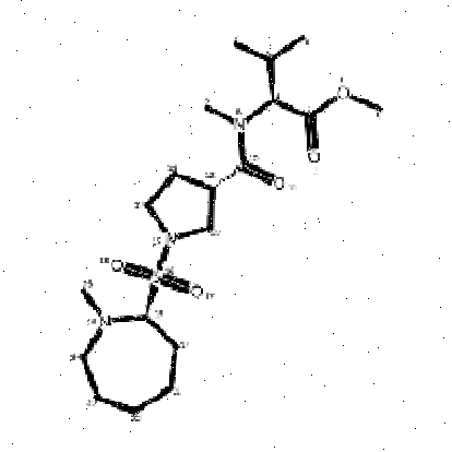 COC(=O)[C@H](C(C)C)N(C)C(=O)[C@H]1CCN(S(=O)(=O)[C@H]2CCCCCN2C)C1